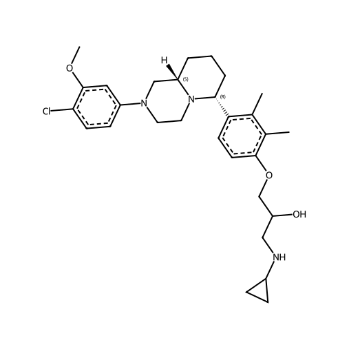 COc1cc(N2CCN3[C@@H](CCC[C@@H]3c3ccc(OCC(O)CNC4CC4)c(C)c3C)C2)ccc1Cl